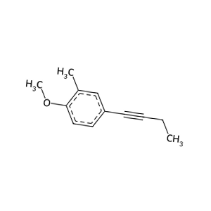 CCC#Cc1ccc(OC)c(C)c1